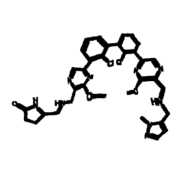 COc1nc(-c2cccc(-c3cccc(-c4cnc(CNCC5CCC(=O)N5)c(OC)n4)c3Cl)c2Cl)cnc1CNCc1ccnn1C